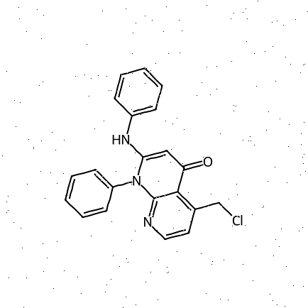 O=c1cc(Nc2ccccc2)n(-c2ccccc2)c2nccc(CCl)c12